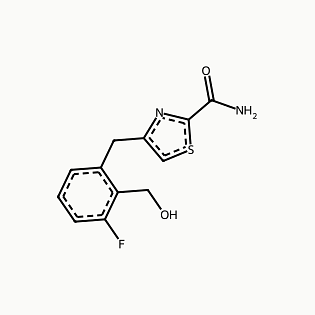 NC(=O)c1nc(Cc2cccc(F)c2CO)cs1